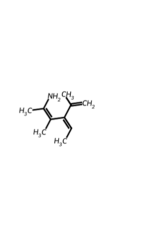 C=C(C)C(=C/C)/C(C)=C(/C)N